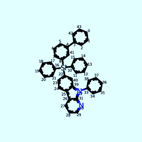 c1ccc(-c2cccc([Si](c3ccccc3)(c3ccccc3)c3ccc4c5cccnc5n(-c5ccccc5)c4c3)c2)cc1